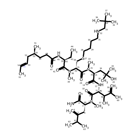 C=C(C[C@H](C(N)=O)N(C)C(=O)[C@H](NC(=O)[C@H](CC(C)(C)O)N(C)C(=O)[C@@H](CSCCCCNCC(C)(C)C)N(C)C(=O)[C@H](CC)NC(=O)CC[C@H](C)C/C=C/C)C(C)C(=C)C)C(C)C